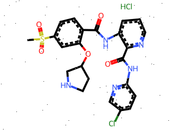 CS(=O)(=O)c1ccc(C(=O)Nc2cccnc2C(=O)Nc2ccc(Cl)cn2)c(OC2CCNC2)c1.Cl